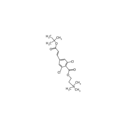 CC(C)(C)OC(=O)/C=C/c1cc(Cl)c(C(=O)OCC[Si](C)(C)C)c(Cl)c1